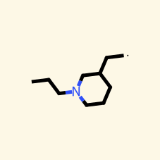 [CH2]CC1CCCN(CCC)C1